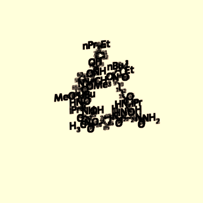 CCCCC(I)(CC)C1CC(=O)N(CCCCCC(=O)N[C@H](C(=O)N[C@@H](CCCNC(N)=O)C(=O)Nc2ccc(COC(=O)N(C)[C@@H](CO)C(=O)N[C@H](C(=O)N[C@@H]([C@@H](C)CC)[C@@H](CC(=O)N3CCC[C@H]3[C@H](OC)[C@@H](C)C(=O)N[C@H](CO)Cc3ccc(C(CC)CCC)cc3)OC)C(C)C)cc2)C(C)C)C1=O